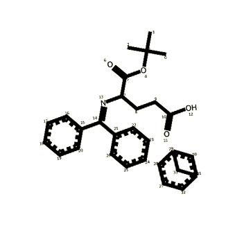 CC(C)(C)OC(=O)C(CCC(=O)O)N=C(c1ccccc1)c1ccccc1.c1cc2cc(c1)C2